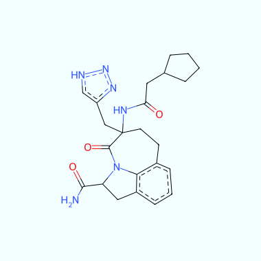 NC(=O)C1Cc2cccc3c2N1C(=O)C(Cc1c[nH]nn1)(NC(=O)CC1CCCC1)CC3